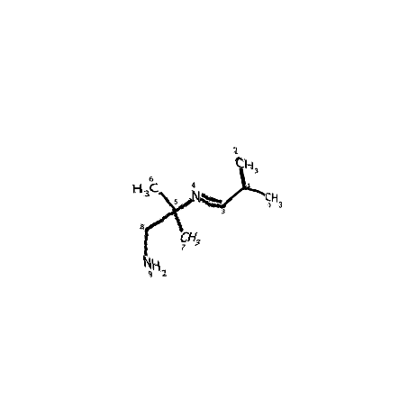 CC(C)C=NC(C)(C)CN